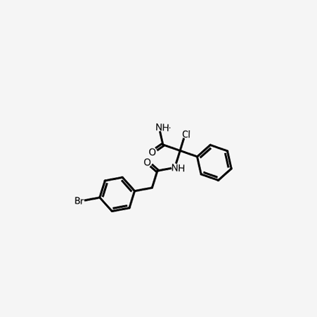 [NH]C(=O)C(Cl)(NC(=O)Cc1ccc(Br)cc1)c1ccccc1